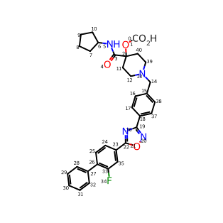 O=C(O)OC1(C(=O)NC2CCCC2)CCN(Cc2ccc(-c3noc(-c4ccc(-c5ccccc5)c(F)c4)n3)cc2)CC1